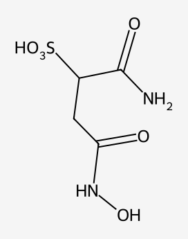 NC(=O)C(CC(=O)NO)S(=O)(=O)O